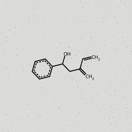 C=CC(=C)CC(O)c1ccccc1